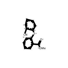 COC(=O)c1ccccc1Sc1ccccc1C#N